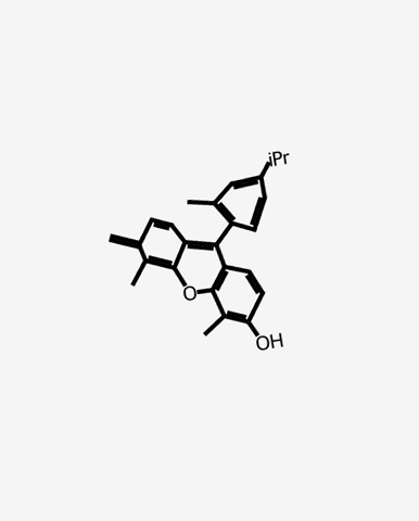 C=c1ccc2c(c1C)Oc1c(ccc(O)c1C)C=2c1ccc(C(C)C)cc1C